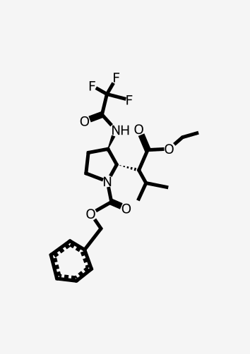 CCOC(=O)C(C(C)C)[C@H]1[C@H](NC(=O)C(F)(F)F)CCN1C(=O)OCc1ccccc1